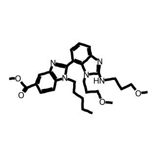 CCCCCn1c(-c2cccc3nc(NCCCOC)n(CCCOC)c23)nc2cc(C(=O)OC)ccc21